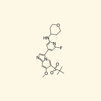 COc1cc2ncc(-c3cc(F)nc(NC4CCOCC4)c3)n2cc1S(=O)(=O)C(C)(C)C